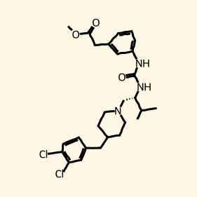 COC(=O)Cc1cccc(NC(=O)N[C@@H](CN2CCC(Cc3ccc(Cl)c(Cl)c3)CC2)C(C)C)c1